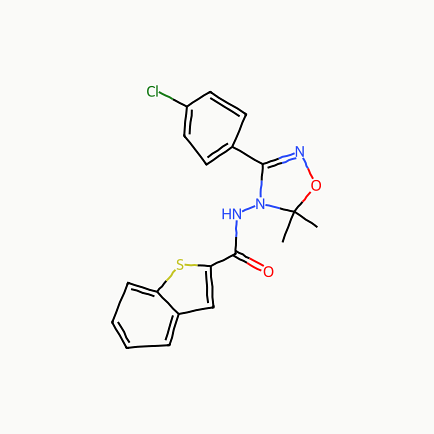 CC1(C)ON=C(c2ccc(Cl)cc2)N1NC(=O)c1cc2ccccc2s1